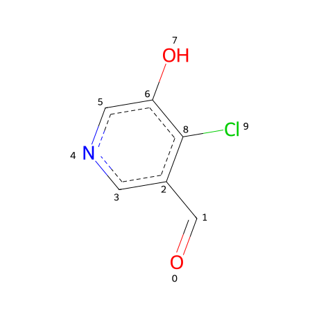 O=Cc1cncc(O)c1Cl